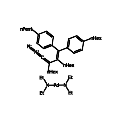 CCCCCCC(=C=[N+]=[N-])C(CCCCCC)=C(c1ccc(CCCCC)cc1)c1ccc(CCCCCC)cc1.CC[N](CC)[Pd][N](CC)CC